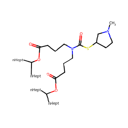 CCCCCCCC(CCCCCCC)OC(=O)CCCN(CCCC(=O)OC(CCCCCCC)CCCCCCC)C(=O)SC1CCN(C)C1